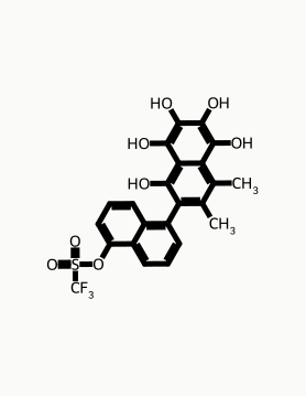 Cc1c(-c2cccc3c(OS(=O)(=O)C(F)(F)F)cccc23)c(O)c2c(O)c(O)c(O)c(O)c2c1C